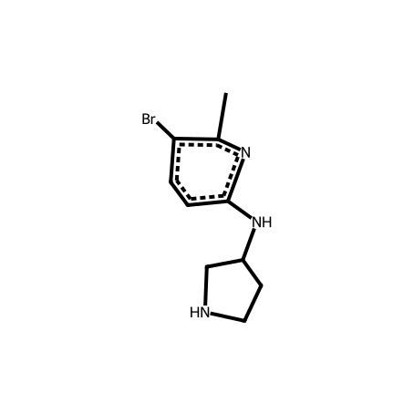 Cc1nc(NC2CCNC2)ccc1Br